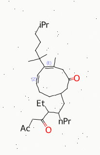 CCCC(CC1CC/C=C\C(C(C)(C)CCCC(C)C)=C(\C)CC(=O)C1)C(CC)C(=O)CC(C)=O